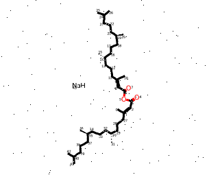 C/C(=C\C(=O)OC(=O)/C=C(\C)CCC[C@H](C)CCC[C@H](C)CCCC(C)C)CCC[C@H](C)CCC[C@H](C)CCCC(C)C.[NaH]